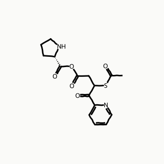 CC(=O)SC(CC(=O)OC(=O)[C@@H]1CCCN1)C(=O)c1ccccn1